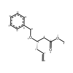 C=CC[C@@H](CC(=O)OC)OCc1ccccc1